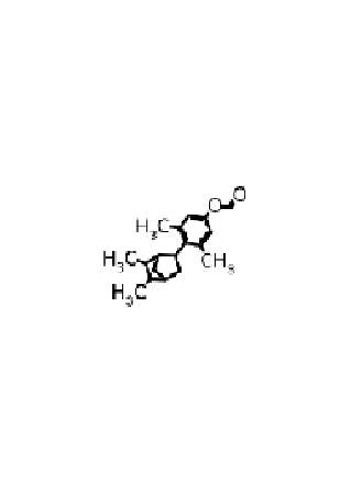 Cc1cc(OC=O)cc(C)c1C1CC2CC1C(C)C2C